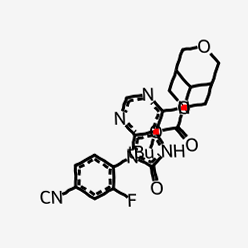 [C-]#[N+]c1ccc(-n2c(=O)[nH]c3c(OC4C5COCC4CN(C(=O)OC(C)(C)C)C5)ncnc32)c(F)c1